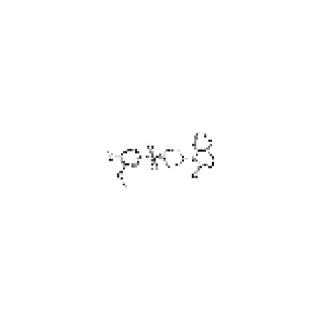 COc1ccc(S(=O)(=O)N2CCC(N3C(=O)OCc4ccccc43)CC2)cc1OC